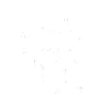 CC(C)N(c1cc(C(C)(C)C)sc1C(=O)O)P(C)(=O)c1ccc(Cl)cc1Cl